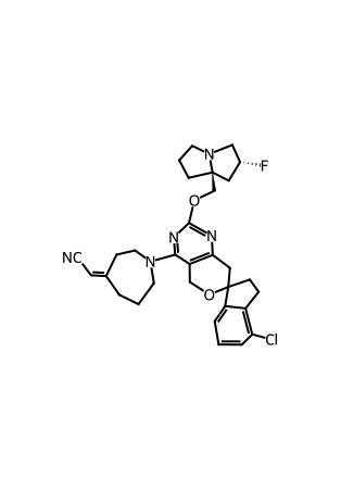 N#CC=C1CCCN(c2nc(OC[C@@]34CCCN3C[C@H](F)C4)nc3c2COC2(CCc4c(Cl)cccc42)C3)CC1